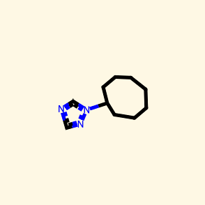 [c]1ncnn1C1CCCCCCC1